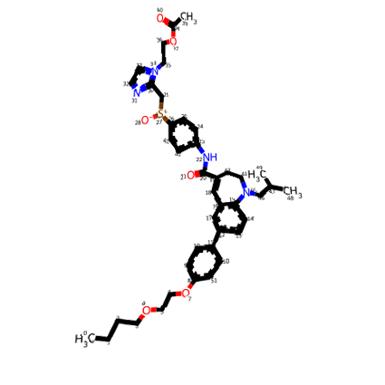 CCCCOCCOc1ccc(-c2ccc3c(c2)C=C(C(=O)Nc2ccc([S+]([O-])Cc4nccn4CCOC(C)=O)cc2)CCN3CC(C)C)cc1